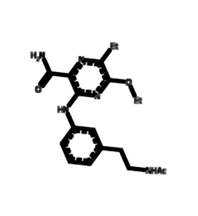 [CH2]C(=O)NCCc1cccc(Nc2nc(OCC)c(CC)nc2C(N)=O)c1